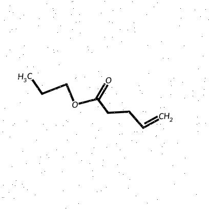 C=CCCC(=O)OCCC